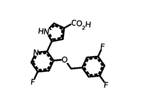 O=C(O)c1c[nH]c(-c2ncc(F)cc2OCc2cc(F)cc(F)c2)c1